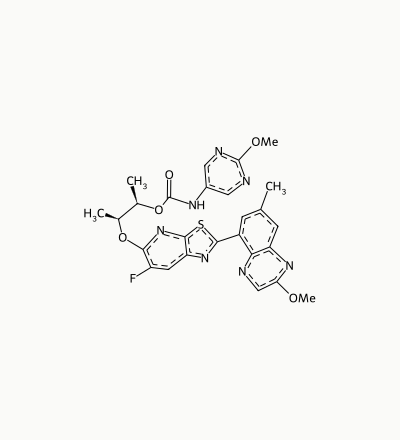 COc1cnc2c(-c3nc4cc(F)c(O[C@@H](C)[C@@H](C)OC(=O)Nc5cnc(OC)nc5)nc4s3)cc(C)cc2n1